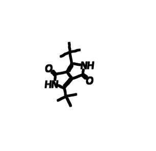 CC(C)(C)C1=C2C(=O)NC(C(C)(C)C)=C2C(=O)N1